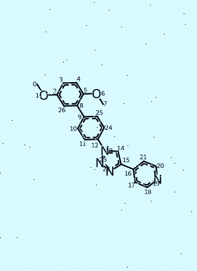 COc1ccc(OC)c(-c2ccc(-n3cc(-c4ccncc4)nn3)cc2)c1